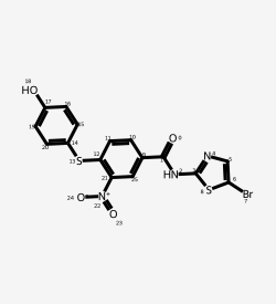 O=C(Nc1ncc(Br)s1)c1ccc(Sc2ccc(O)cc2)c([N+](=O)[O-])c1